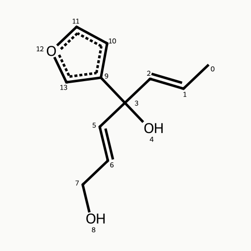 CC=CC(O)(C=CCO)c1ccoc1